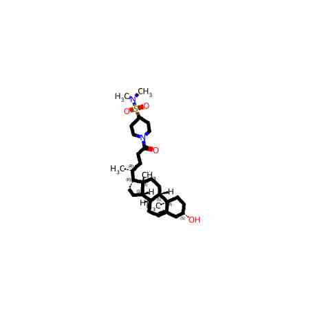 C[C@H](CCC(=O)N1CCC(S(=O)(=O)N(C)C)CC1)[C@H]1CC[C@H]2[C@@H]3CC=C4C[C@@H](O)CC[C@]4(C)[C@H]3CC[C@]12C